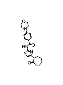 O=C(Nc1nc(C2CCCCCC2=O)cs1)c1ccc(N2CCOCC2)cc1